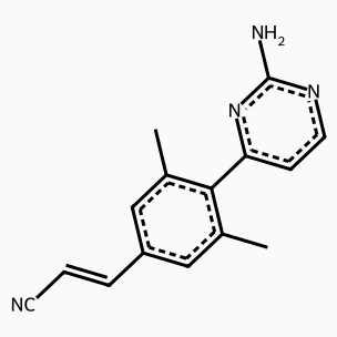 Cc1cc(C=CC#N)cc(C)c1-c1ccnc(N)n1